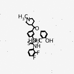 CN1CCC(C(=O)c2cccc(NC(=S)Nc3cccc(F)c3F)c2)CC1.O=C(O)c1ccccc1O